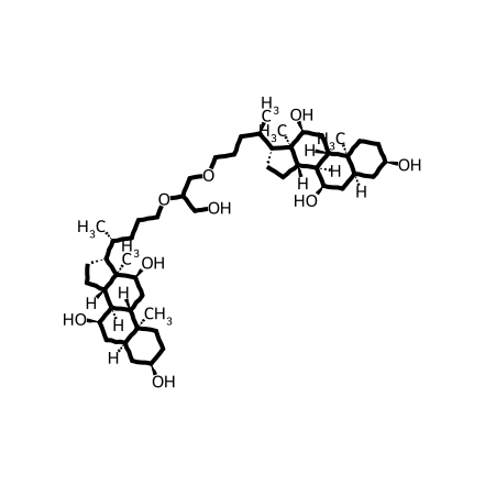 C[C@H](CCCOCC(CO)OCCC[C@@H](C)[C@H]1CC[C@H]2[C@@H]3[C@H](O)C[C@@H]4C[C@H](O)CC[C@]4(C)[C@H]3C[C@H](O)[C@]12C)[C@H]1CC[C@H]2[C@@H]3[C@H](O)C[C@@H]4C[C@H](O)CC[C@]4(C)[C@H]3C[C@H](O)[C@]12C